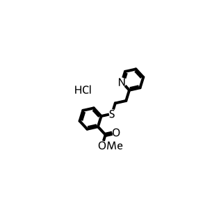 COC(=O)c1ccccc1SCCc1ccccn1.Cl